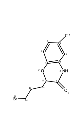 O=C1Nc2cc(Cl)ccc2OC1CCCBr